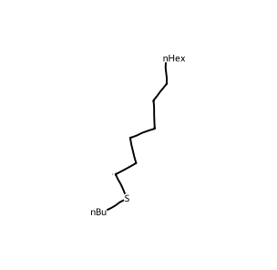 CCCCCCCCCCC[CH]SCCCC